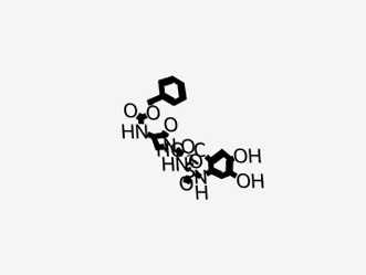 O=C(NC1CN(C(=O)NS(=O)(=O)Nc2cc(O)c(O)cc2C(=O)O)C1=O)OCc1ccccc1